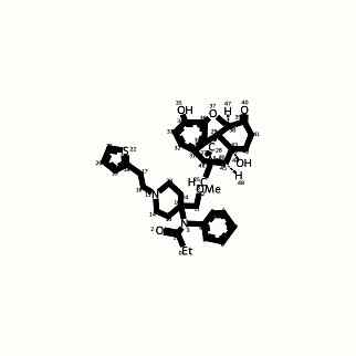 CCC(=O)N(c1ccccc1)C1(COC)CCN(CCc2cccs2)CC1.CN1CC[C@]23c4c5ccc(O)c4O[C@H]2C(=O)CC[C@@]3(O)[C@H]1C5